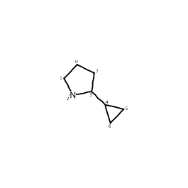 C1C[N]C(C2CC2)C1